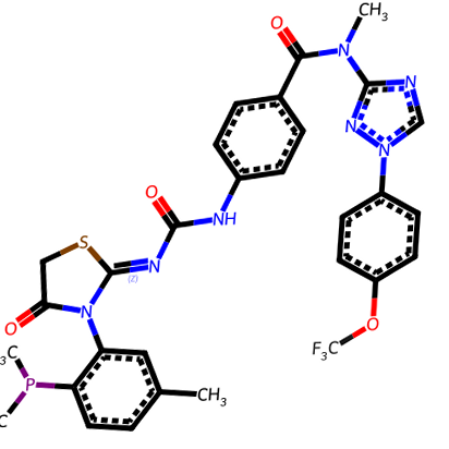 Cc1ccc(P(C)C)c(N2C(=O)CS/C2=N\C(=O)Nc2ccc(C(=O)N(C)c3ncn(-c4ccc(OC(F)(F)F)cc4)n3)cc2)c1